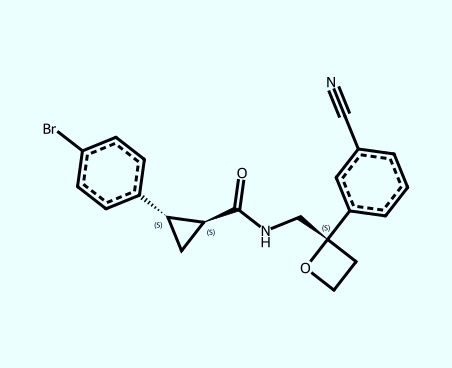 N#Cc1cccc([C@]2(CNC(=O)[C@H]3C[C@@H]3c3ccc(Br)cc3)CCO2)c1